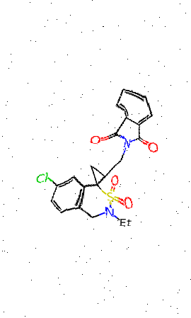 CCN1Cc2ccc(Cl)cc2C2(CC2CN2C(=O)c3ccccc3C2=O)S1(=O)=O